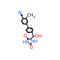 Cc1cc(-c2ccc(C(O)C3NC(=O)NC3=O)cc2)ccc1C#N